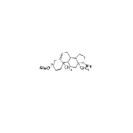 CCC1CCC2C3CC=C4C[C@@H](OC)CCC4(C)C3CCC12C